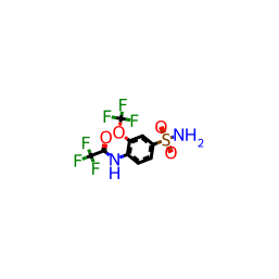 NS(=O)(=O)c1ccc(NC(=O)C(F)(F)F)c(OC(F)(F)F)c1